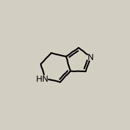 C1=NC=C2CCNC=C12